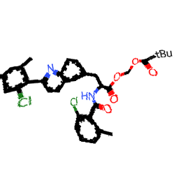 Cc1cccc(Cl)c1C(=O)NC(Cc1ccc2nc(-c3c(C)cccc3Cl)ccc2c1)C(=O)OCOC(=O)C(C)(C)C